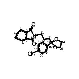 O=C1c2ccccc2C(=O)N1CCCC1(c2ccc(Cl)cc2)OCCO1